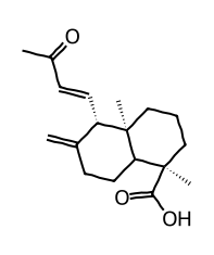 C=C1CCC2[C@](C)(C(=O)O)CCC[C@]2(C)[C@H]1/C=C/C(C)=O